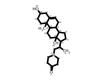 CC(CN1CCC(=O)CC1)C1CCC2C3CC=C4CC(O)CCC4(C)C3CCC12C